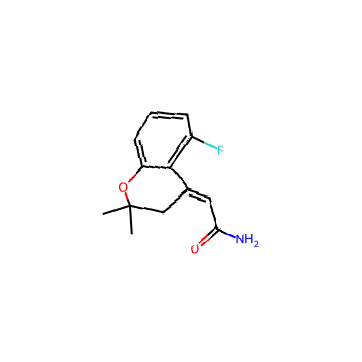 CC1(C)CC(=CC(N)=O)c2c(F)cccc2O1